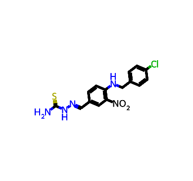 NC(=S)NN=Cc1ccc(NCc2ccc(Cl)cc2)c([N+](=O)[O-])c1